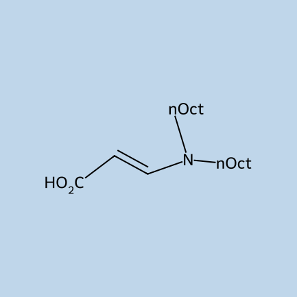 CCCCCCCCN(C=CC(=O)O)CCCCCCCC